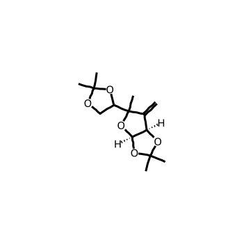 C=C1[C@H]2OC(C)(C)O[C@H]2OC1(C)C1COC(C)(C)O1